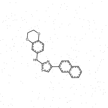 c1ccc2cc(-c3csc(Nc4ccc5c(c4)OCCO5)n3)ccc2c1